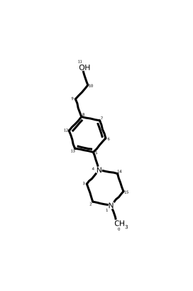 CN1CCN(c2ccc(CCO)cc2)CC1